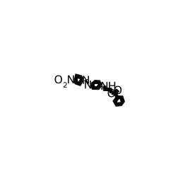 O=C(OCCNc1ccc(N=Nc2ccc([N+](=O)[O-])cc2)cc1)c1ccccc1